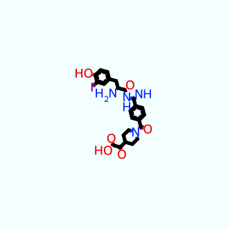 N=C(NC(=O)[C@@H](N)Cc1ccc(O)c(I)c1)c1ccc(C(=O)N2CCC(C(=O)C(=O)O)CC2)cc1